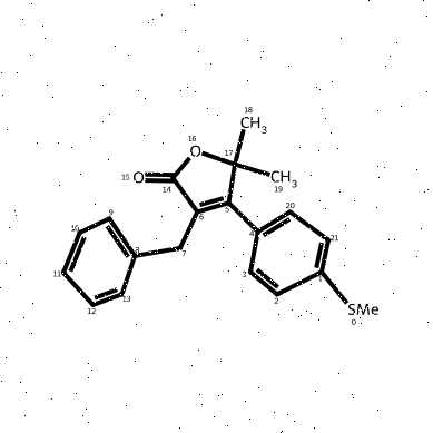 CSc1ccc(C2=C(Cc3ccccc3)C(=O)OC2(C)C)cc1